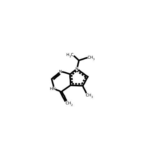 C=C1NC=Nc2c1c(C)cn2C(C)C